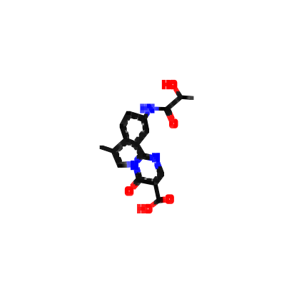 Cc1cn2c(=O)c(C(=O)O)cnc2c2cc(NC(=O)C(C)O)ccc12